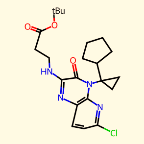 CC(C)(C)OC(=O)CCNc1nc2ccc(Cl)nc2n(C2(C3CCCC3)CC2)c1=O